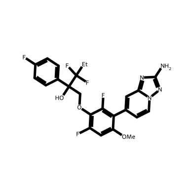 CCC(F)(F)C(O)(COc1c(F)cc(OC)c(-c2ccn3nc(N)nc3c2)c1F)c1ccc(F)cc1